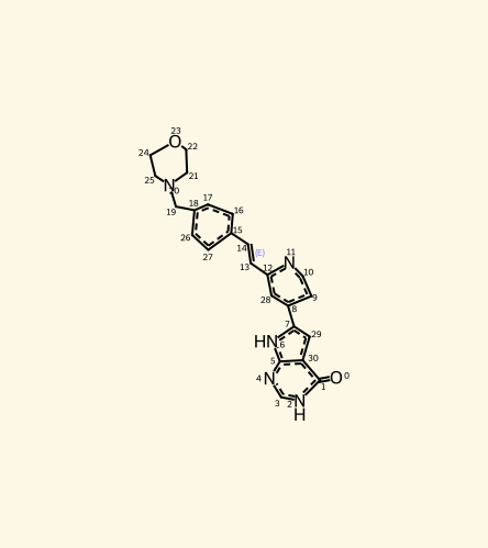 O=c1[nH]cnc2[nH]c(-c3ccnc(/C=C/c4ccc(CN5CCOCC5)cc4)c3)cc12